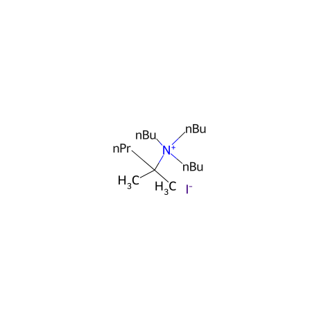 CCCC[N+](CCCC)(CCCC)C(C)(C)CCC.[I-]